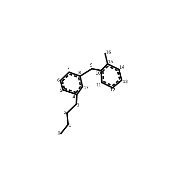 CCCCc1cccc(Cc2ccccc2C)c1